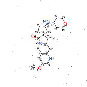 CC(C)Oc1cnc2c(c1)CN1C(=O)[C@]3(CC[C@@H](NC4CCOCC4)C3)C(C)C1C2